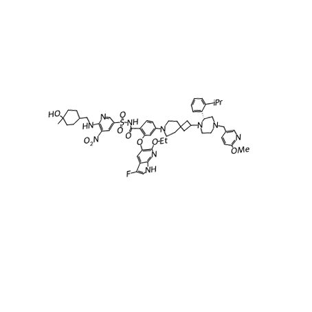 CCOc1nc2[nH]cc(F)c2cc1Oc1cc(N2CCC3(CC2)CC(N2CCN(Cc4ccc(OC)nc4)C[C@H]2c2ccccc2C(C)C)C3)ccc1C(=O)NS(=O)(=O)c1cnc(NCC2CCC(C)(O)CC2)c([N+](=O)[O-])c1